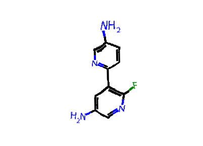 Nc1ccc(-c2cc(N)cnc2F)nc1